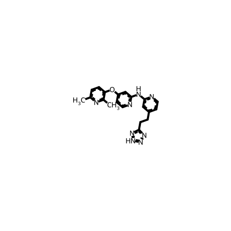 Cc1ccc(Oc2ccnc(Nc3cc(CCc4nn[nH]n4)ccn3)c2)c(C)n1